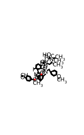 COc1ccc(CN(Cc2ccc(OC)cc2)S(=O)(=O)c2c(S(=O)(=O)NC[C@@H](C)N(C(=O)O)C(C)(C)C)ccc(I)c2-c2nnn(Cc3ccc(OC)cc3)n2)cc1